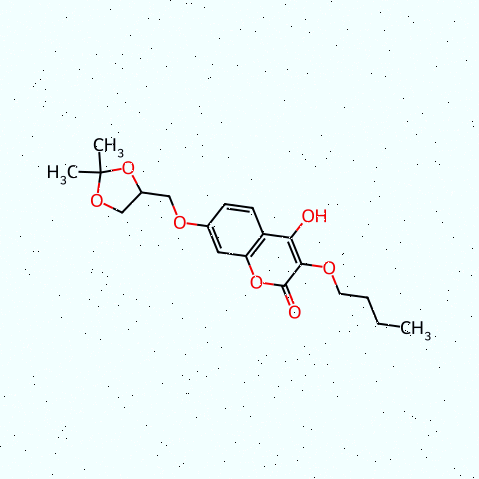 CCCCOc1c(O)c2ccc(OCC3COC(C)(C)O3)cc2oc1=O